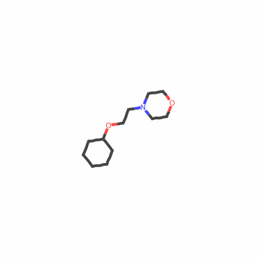 C1CCC(OCCN2CCOCC2)CC1